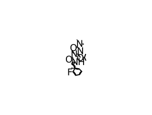 CC(C)OC(=NC(=O)N(C)C)N(C)C(=O)NSc1ccccc1F